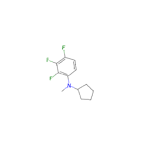 CN(c1ccc(F)c(F)c1F)C1CCCC1